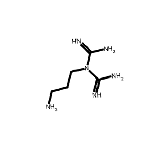 N=C(N)N(CCCN)C(=N)N